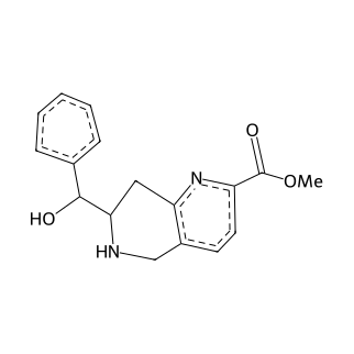 COC(=O)c1ccc2c(n1)CC(C(O)c1ccccc1)NC2